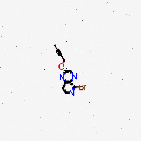 CC#CCOc1cnc2c(Br)nccc2n1